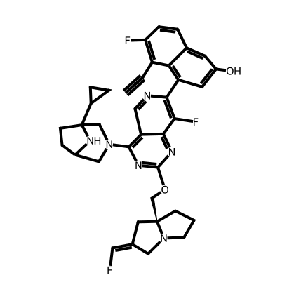 C#Cc1c(F)ccc2cc(O)cc(-c3ncc4c(N5CC6CCC(C7CC7)(C5)N6)nc(OC[C@@]56CCCN5C/C(=C\F)C6)nc4c3F)c12